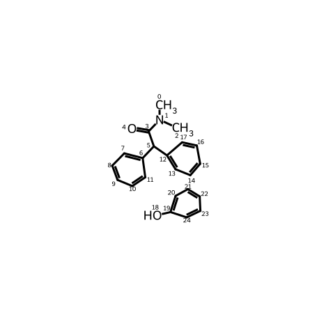 CN(C)C(=O)C(c1ccccc1)c1ccccc1.Oc1ccccc1